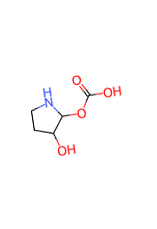 O=C(O)OC1NCCC1O